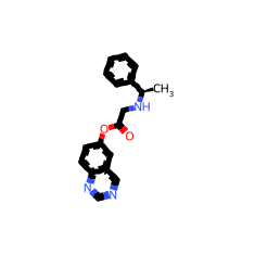 C[C@@H](NCC(=O)Oc1ccc2ncncc2c1)c1ccccc1